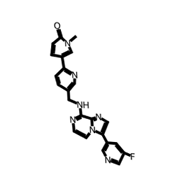 Cn1cc(-c2ccc(CNc3nccn4c(-c5cncc(F)c5)cnc34)cn2)ccc1=O